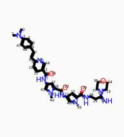 CN(C)c1ccc(/C=C/c2ccc(C(=O)Nc3cc(C(=O)Nc4cc(C(=O)NCCC(=N)N5CCOCC5)n(C)c4)n(C)c3)cn2)cc1